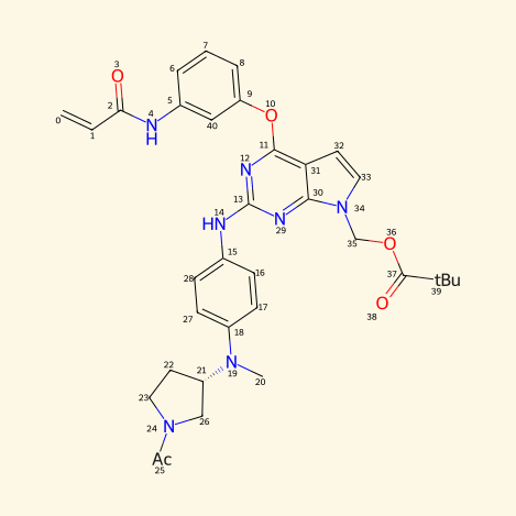 C=CC(=O)Nc1cccc(Oc2nc(Nc3ccc(N(C)[C@H]4CCN(C(C)=O)C4)cc3)nc3c2ccn3COC(=O)C(C)(C)C)c1